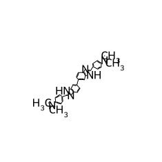 CN(C)c1ccc(-c2nc3ccc(-c4ccc5nc(-c6ccc(N(C)C)cc6)[nH]c5c4)cc3[nH]2)cc1